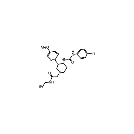 COc1ccc([C@@H]2CN(CC(=O)NCC(C)C)CC[C@H]2NC(=O)Nc2ccc(Cl)cc2)nc1